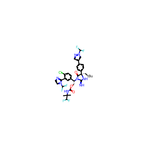 CC(C)(C)C[C@]1(c2ccc(-c3cnn(C(F)F)c3)cc2)NC(=N)N([C@H](COC(=O)NC(C)(C)C(F)F)c2ccc(Cl)c(-c3nccn3C(F)F)c2)C1=O